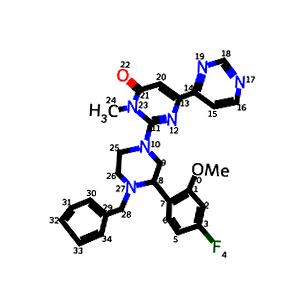 COc1cc(F)ccc1C1CN(c2nc(-c3ccncn3)cc(=O)n2C)CCN1Cc1ccccc1